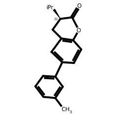 Cc1cccc(-c2ccc3c(c2)C[C@@H](C(C)C)C(=O)O3)c1